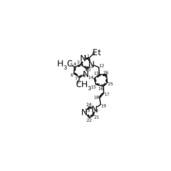 CCc1nc2c(C)cc(C)nc2n1Cc1ccc(C=CCn2ccnc2)cc1